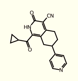 N#Cc1c2c(c(C(=O)C3CC3)[nH]c1=O)CC(c1ccncc1)CC2